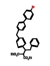 CCOC(=O)C(C(=O)OCC)C(Cc1ccccc1)c1ccc(Cc2ccc(-c3ccc(Br)cc3)cc2)cc1